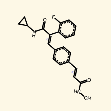 O=C(/C=C/c1ccc(/C=C(/C(=O)NC2CC2)c2ccccc2F)cc1)NO